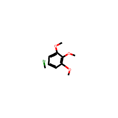 CBr.COc1cccc(OC)c1OC